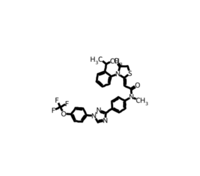 CC(C)c1ccccc1N1C(=O)CS/C1=C\C(=O)N(C)c1ccc(-c2ncn(-c3ccc(OC(F)(F)F)cc3)n2)cc1